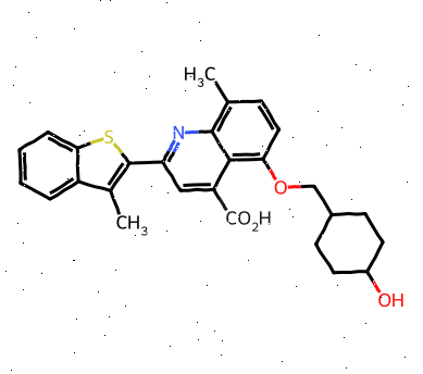 Cc1c(-c2cc(C(=O)O)c3c(OCC4CCC(O)CC4)ccc(C)c3n2)sc2ccccc12